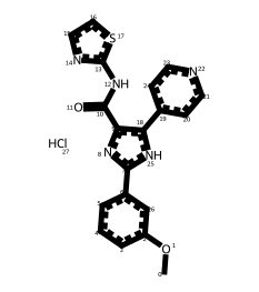 COc1cccc(-c2nc(C(=O)Nc3nccs3)c(-c3ccncc3)[nH]2)c1.Cl